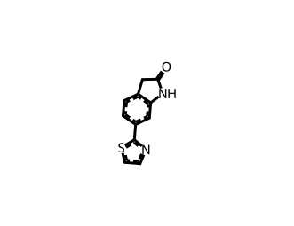 O=C1Cc2ccc(-c3nccs3)cc2N1